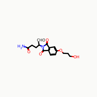 NC(=O)CCC(C=O)N1C(=O)c2ccc(OCCCO)cc2C1=O